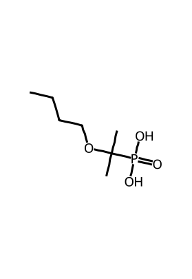 CCCCOC(C)(C)P(=O)(O)O